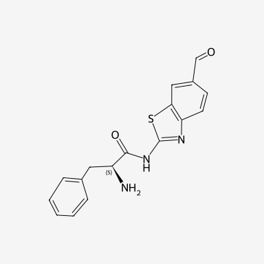 N[C@@H](Cc1ccccc1)C(=O)Nc1nc2ccc(C=O)cc2s1